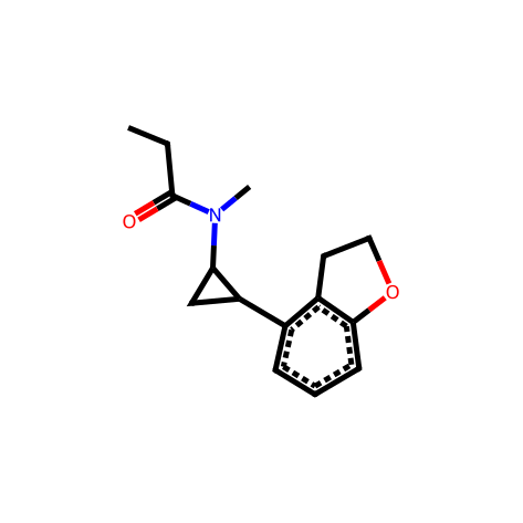 CCC(=O)N(C)C1CC1c1cccc2c1CCO2